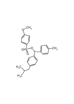 COc1ccc(S(=O)(=O)O[I+](c2ccc(C)cc2)c2ccc(CC(C)C)cc2)cc1